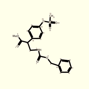 COC(=O)C(CNC(=O)OCc1ccccc1)c1ccc(OS(C)(=O)=O)cc1